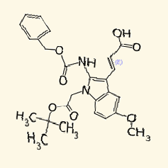 COc1ccc2c(c1)c(/C=C/C(=O)O)c(NC(=O)OCc1ccccc1)n2CC(=O)OC(C)(C)C